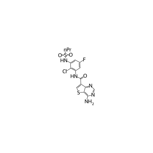 CCCS(=O)(=O)Nc1cc(F)cc(NC(=O)c2csc3c(N)ncnc23)c1Cl